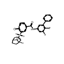 C[C@@]1(O)C2CC[C@H]1CC(S(=O)(=O)c1cc(C(=O)Nc3cc(F)c(F)c(-c4ccccc4)c3)ccc1Cl)C2